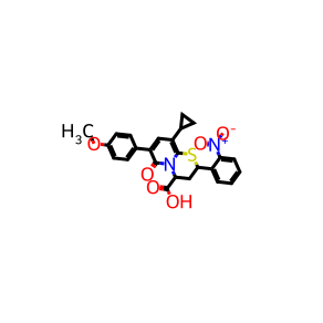 COc1ccc(-c2cc(C3CC3)c3n(c2=O)C(C(=O)O)CC(c2ccccc2[N+](=O)[O-])S3)cc1